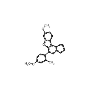 COc1ccc(-c2cc3ccccc3c3c2oc2cc(OC)ccc23)c(C)c1